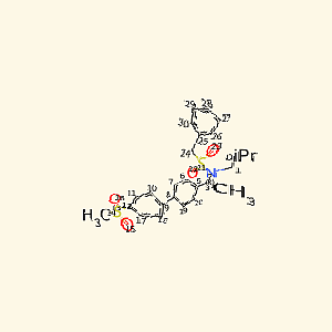 CC(C)CN([C@H](C)c1ccc(-c2ccc(S(C)(=O)=O)cc2)cc1)S(=O)(=O)Cc1ccccc1